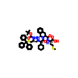 CSCC[C@H](NC(=O)[C@@H]1Cc2ccccc2CN1C(=O)[C@H](NC[C@H](CSC(c1ccccc1)(c1ccccc1)c1ccccc1)NC(=O)OC(C)(C)C)C1CCCCC1)C(=O)O